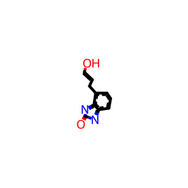 O=C1N=c2cccc(CC=CO)c2=N1